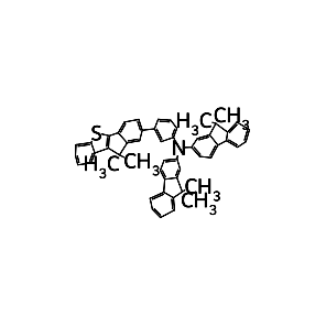 CC1(C)c2ccccc2-c2ccc(N(c3cccc(-c4ccc5c(c4)C(C)(C)c4c-5sc5ccccc45)c3)c3ccc4c(c3)C(C)(C)c3ccccc3-4)cc21